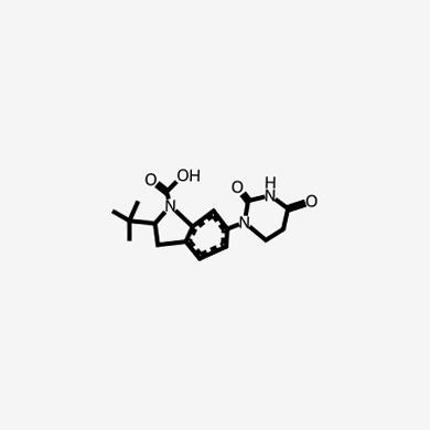 CC(C)(C)C1Cc2ccc(N3CCC(=O)NC3=O)cc2N1C(=O)O